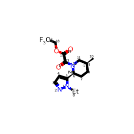 CCn1nccc1[C@@H]1CC[C@H](C)CN1C(=O)C(=O)OCC(F)(F)F